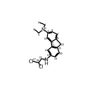 CCN(CC)c1ccc2c(c1)-c1cc(NCC(Cl)Cl)ccc1C2